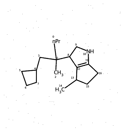 CCCC(C)(CC1CCC1)C1CNC2=C1C(C)CC2